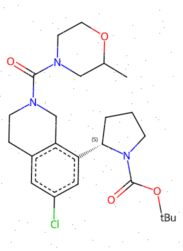 CC1CN(C(=O)N2CCc3cc(Cl)cc([C@@H]4CCCN4C(=O)OC(C)(C)C)c3C2)CCO1